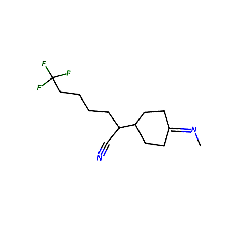 CN=C1CCC(C(C#N)CCCCC(F)(F)F)CC1